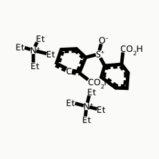 CC[N+](CC)(CC)CC.CC[N+](CC)(CC)CC.O=C(O)c1ccccc1[S+]([O-])c1ccccc1C(=O)O